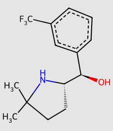 CC1(C)CC[C@@H]([C@H](O)c2cccc(C(F)(F)F)c2)N1